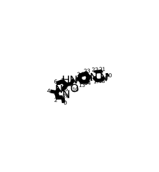 Cc1cc(C)n2ccc(C(=O)Nc3ccc(N4CCN(C)CC4)cc3)c2n1